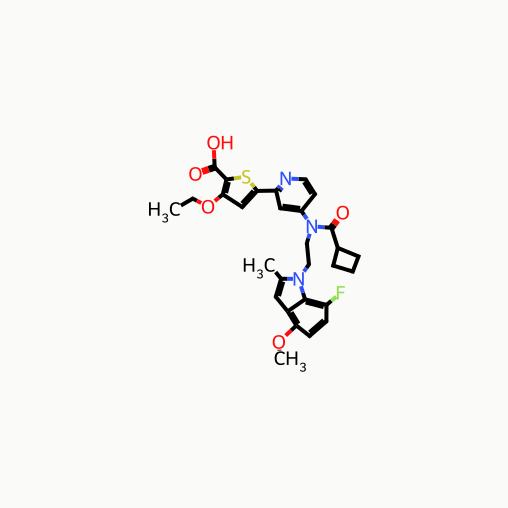 CCOc1cc(-c2cc(N(CCn3c(C)cc4c(OC)ccc(F)c43)C(=O)C3CCC3)ccn2)sc1C(=O)O